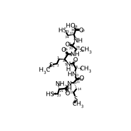 CSCC[C@H](NC(=O)[C@H](C)NC(=O)[C@H](CCSC)NC(=O)[C@@H](N)CS)C(=O)N[C@@H](C)C(=O)N[C@@H](CS)C(=O)O